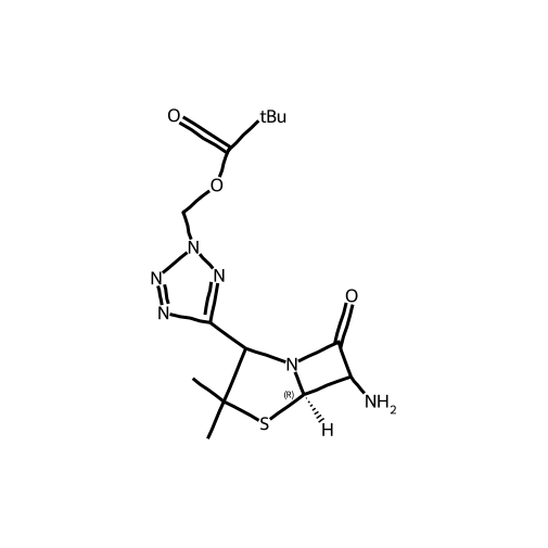 CC(C)(C)C(=O)OCn1nnc(C2N3C(=O)C(N)[C@H]3SC2(C)C)n1